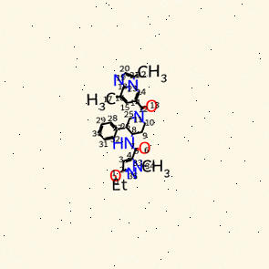 CCOc1cc(C(=O)N[C@@H]2CCN(C(=O)c3cc(C)c4ncc(C)n4c3)C[C@@H]2c2ccccc2)n(C)n1